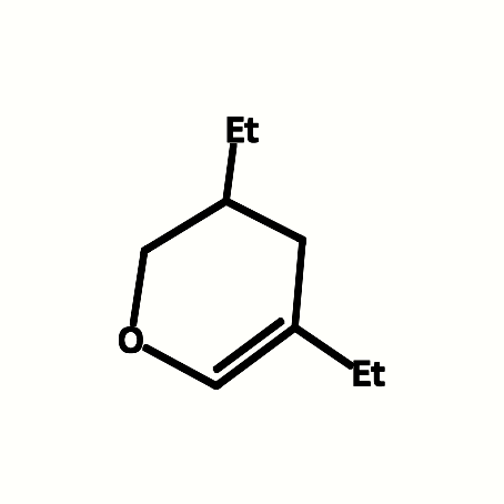 CCC1=COCC(CC)C1